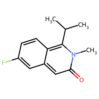 CC(C)c1c2ccc(F)cc2cc(=O)n1C